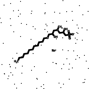 CCCCCCCCCCCCOCC(O)CN(C)CC(O)CS(=O)(=O)[O-].[Na+]